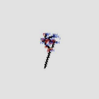 CCCCCCCCCCCCCCCC(=O)NS(=O)(=O)CCCC(=O)NCC(=O)NC(CO)C(=O)N[C@@H](CCC(N)=O)C(O)NC(CCCNC(=N)N)C(=O)NC(CO)C(=O)N[C@@H](CCCC)C(=O)NC